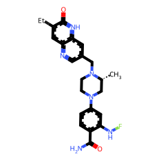 CCc1cc2ncc(CN3CCN(c4ccc(C(N)=O)c(NF)c4)C[C@H]3C)cc2[nH]c1=O